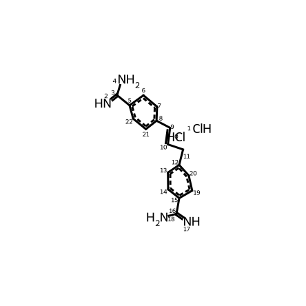 Cl.Cl.N=C(N)c1ccc(C=CCc2ccc(C(=N)N)cc2)cc1